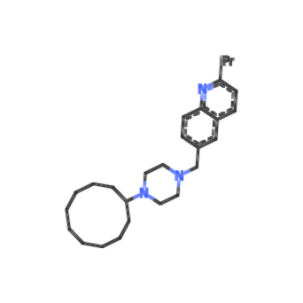 CC(C)c1ccc2cc(CN3CCN(C4CCCCCCCCC4)CC3)ccc2n1